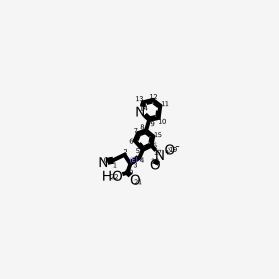 N#CC/C(=C\c1ccc(-c2ccccn2)cc1[N+](=O)[O-])C(=O)O